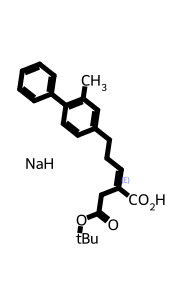 Cc1cc(CC/C=C(\CC(=O)OC(C)(C)C)C(=O)O)ccc1-c1ccccc1.[NaH]